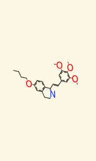 CCCCOc1ccc2c(c1)CCN=C2/C=C/c1cc(OC)c(OC)c(OC)c1